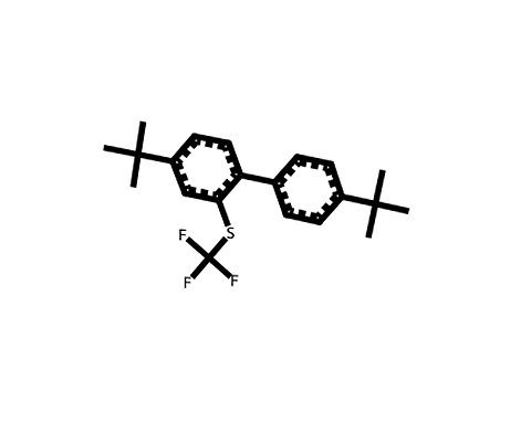 CC(C)(C)c1ccc(-c2ccc(C(C)(C)C)cc2SC(F)(F)F)cc1